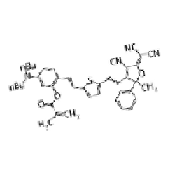 [C-]#[N+]C1=C(/C=C/c2ccc(/C=C/c3ccc(N(CCCC)CCCC)cc3OC(=O)C(=C)C)s2)C(C)(c2ccccc2)OC1=C(C#N)C#N